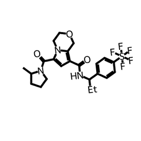 CCC(NC(=O)c1cc(C(=O)N2CCCC2C)n2c1COCC2)c1ccc(S(F)(F)(F)(F)F)cc1